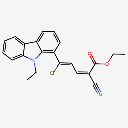 CCOC(=O)C(C#N)=CC=C(Cl)c1cccc2c3ccccc3n(CC)c12